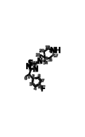 CC(c1ccc(F)cc1)c1nsc(N2CC3(CCNCC3)C2)n1